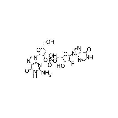 Nc1nc2c(ncn2[C@@H]2O[C@H](CO)CC2OP(=O)(O)O/C=C2/O[C@@H](n3cnc4c(=O)[nH]cnc43)[C@@H](F)[C@@H]2O)c(=O)[nH]1